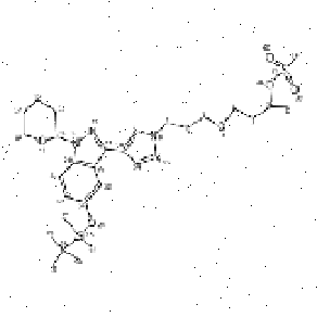 CC(CCOCCCn1cc(-c2nn(C3CCCCO3)c3ccc(O[Si](C)(C)C(C)(C)C)cc23)cn1)OS(C)(=O)=O